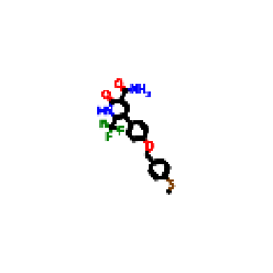 CSc1ccc(COc2ccc(-c3cc(C(N)=O)c(=O)[nH]c3C(F)(F)F)cc2)cc1